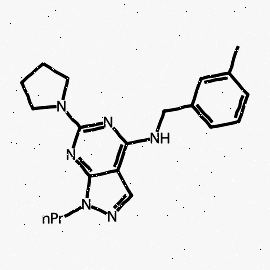 CCCn1ncc2c(NCc3cccc(C)c3)nc(N3CCCC3)nc21